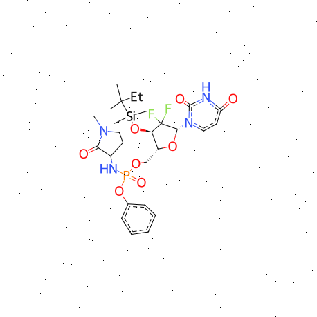 CCC(C)(C)[Si](C)(C)O[C@@H]1[C@@H](COP(=O)(NC2CCN(C)C2=O)Oc2ccccc2)O[C@@H](n2ccc(=O)[nH]c2=O)C1(F)F